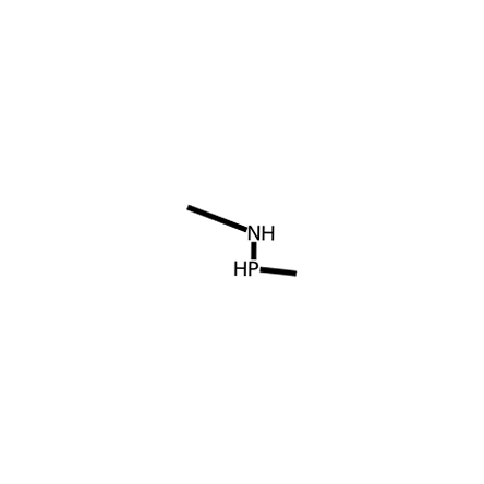 CNPC